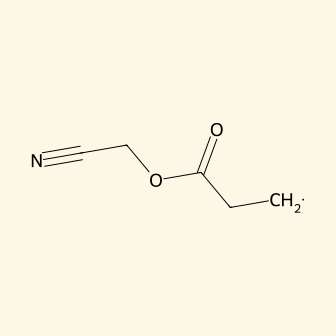 [CH2]CC(=O)OCC#N